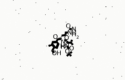 [CH2]c1cc(C(=O)[C@H](CCCNC(N)=O)NC(=O)[C@@H](NC(=O)OC(C)(C)C)C(C)C)ccc1CO